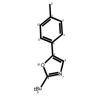 Cc1ccc(-c2cnc(C(C)(C)C)o2)cc1